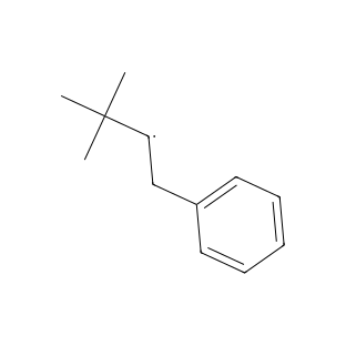 CC(C)(C)[CH]Cc1ccccc1